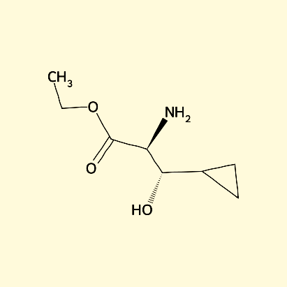 CCOC(=O)[C@@H](N)[C@@H](O)C1CC1